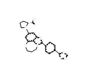 NC(=O)[C@@H]1CCCN1c1cc2c3c(c1)nc(-c1ccc(-c4nc[nH]n4)cc1)n3CCCO2